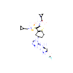 Cn1nc(OC(F)F)cc1Nc1nncn1C1CCc2sc(NC(=O)C3CC3)c(S(=O)(=O)NCC3CC3)c2C1